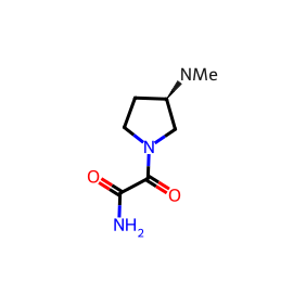 CN[C@@H]1CCN(C(=O)C(N)=O)C1